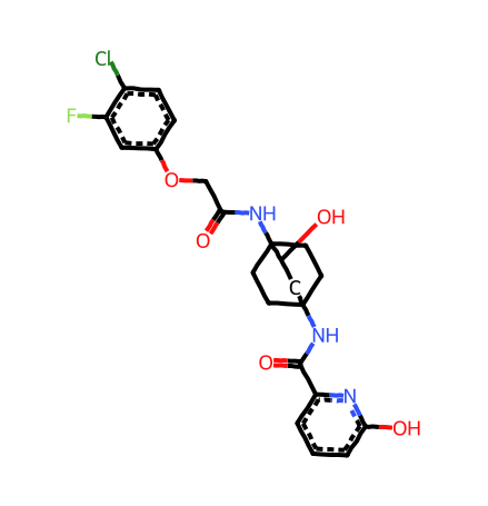 O=C(COc1ccc(Cl)c(F)c1)NC12CCC(NC(=O)c3cccc(O)n3)(CC1)CC2O